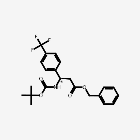 CC(C)(C)OC(=O)N[C@H](CC(=O)OCc1ccccc1)c1ccc(C(F)(F)F)cc1